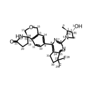 C[C@H]1[C@H](O)CN1c1nc(-c2ccc3c(c2)COC[C@]32CCC(=O)N2)c2c(n1)C(F)(F)CC2